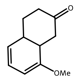 COC1=CC=CC2CCC(=O)CC12